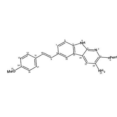 CCCCCc1nc2[nH]c3ccc(C=Cc4ccc(OC)cc4)cc3c2cc1N